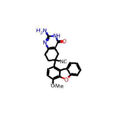 [C-]#[N+]C1(c2ccc(OC)c3oc4ccccc4c23)CCc2nc(N)[nH]c(=O)c2C1